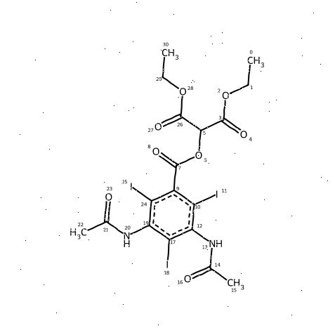 CCOC(=O)C(OC(=O)c1c(I)c(NC(C)=O)c(I)c(NC(C)=O)c1I)C(=O)OCC